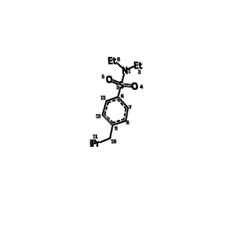 CCN(CC)S(=O)(=O)c1ccc(CC(C)C)cc1